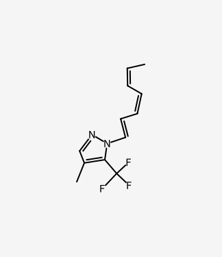 C\C=C/C=C\C=C\n1ncc(C)c1C(F)(F)F